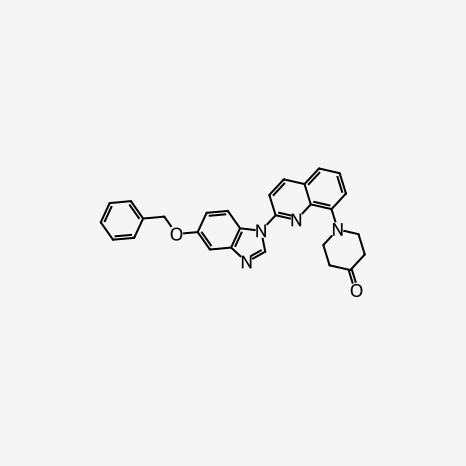 O=C1CCN(c2cccc3ccc(-n4cnc5cc(OCc6ccccc6)ccc54)nc23)CC1